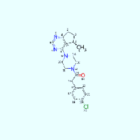 C[C@@H]1CCc2ncnc(N3CCN(C(=O)Cc4ccc(Cl)cc4)CC3)c21